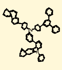 c1ccc(-c2cc(-c3ccccc3)cc(-c3ccc(N(c4ccc(-c5ccc6c(ccc7ccccc76)c5)cc4)c4cccc(-c5cccc6c5c5cc7ccccc7cc5n6-c5ccccc5)c4)cc3)c2)cc1